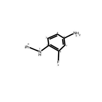 CC(C)Nc1ccc(N)cc1F